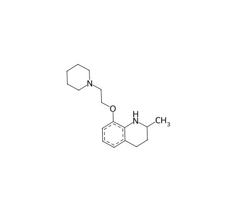 CC1CCc2cccc(OCCN3CCCCC3)c2N1